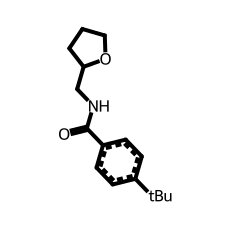 CC(C)(C)c1ccc(C(=O)NCC2CCCO2)cc1